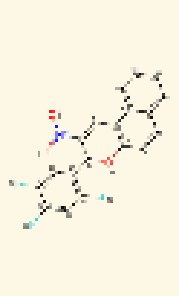 O=[N+]([O-])C1=Cc2c(ccc3ccccc23)OC1c1cc(F)c(F)cc1F